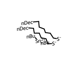 CCCCCCCCCCCCCCCC[S-].CCCCCCCCCCCCCCCC[S-].CCC[CH2][Sn+2][CH2]CCC